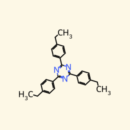 CCc1ccc(-c2nc(-c3ccc(CC)cc3)nc(-c3ccc(CC)cc3)n2)cc1